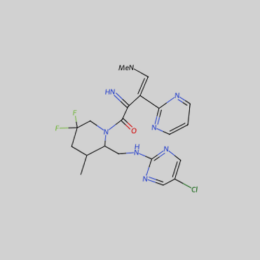 CN/C=C(\C(=N)C(=O)N1CC(F)(F)CC(C)C1CNc1ncc(Cl)cn1)c1ncccn1